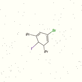 CC(C)C1=CC(Br)=CC(C(C)C)C1I